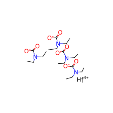 CCN(CC)C(=O)[O-].CCN(CC)C(=O)[O-].CCN(CC)C(=O)[O-].CCN(CC)C(=O)[O-].[Hf+4]